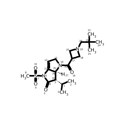 CC(C)[C@@H]1C(=O)N(S(C)(=O)=O)C2=CCN(C(=O)C3CN(CC(C)(C)C)C3)[C@H]21